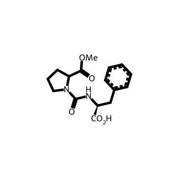 COC(=O)C1CCCN1C(=O)N[C@@H](Cc1ccccc1)C(=O)O